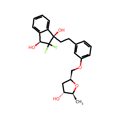 C[C@@H]1O[C@H](COc2cccc(CC[C@@]3(O)c4ccccc4[C@H](O)C3(F)F)c2)C[C@H]1O